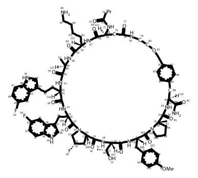 COc1ccc(C[C@@H]2NC(=O)[C@H]([C@@H](C)O)NC(=O)[C@@H]3C[C@H](F)CN3C(=O)[C@H](Cc3c[nH]c4ccc(F)cc34)NC(=O)[C@H](CCc3c[nH]c4ccc(F)cc34)NC(=O)[C@@H](C)NC(=O)[C@H](CCCCN)NC(=O)[C@@H](NC(=O)C(C)C)CC(=O)NCCOc3ccc(cc3)C[C@@H](C(N)=O)NC(=O)[C@]3(C)CCCN3C2=O)cc1